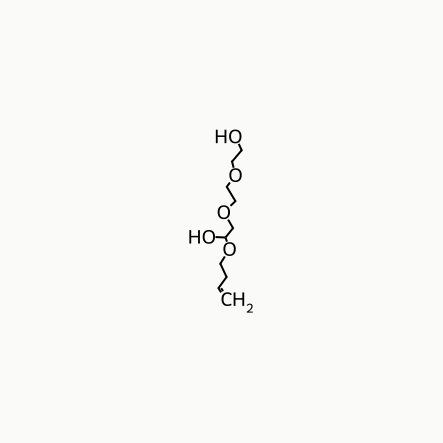 C=CCCOC(O)COCCOCCO